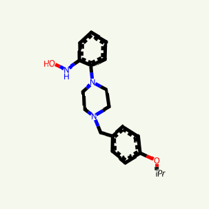 CC(C)Oc1ccc(CN2CCN(c3ccccc3NO)CC2)cc1